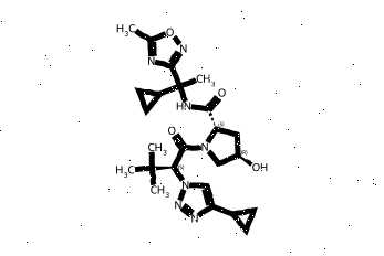 Cc1nc(C(C)(NC(=O)[C@@H]2C[C@@H](O)CN2C(=O)[C@@H](n2cc(C3CC3)nn2)C(C)(C)C)C2CC2)no1